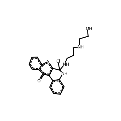 O=c1c2c(sc3ccccc13)C(Cl)(NCCCNCCO)Nc1ccccc1-2